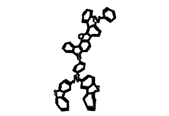 c1ccc(-n2c3ccccc3c3c4oc5c(ccc6c5c5ccccc5n6-c5ccc(N(c6ccc7sc8ccccc8c7c6)c6ccc7sc8ccccc8c7c6)cc5)c4ccc32)cc1